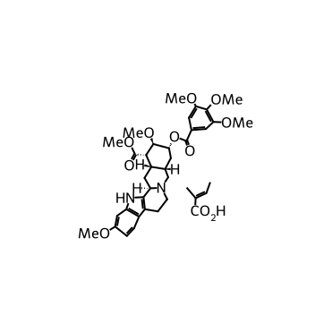 C/C=C(\C)C(=O)O.COC(=O)[C@H]1[C@H]2C[C@@H]3c4[nH]c5cc(OC)ccc5c4CCN3C[C@H]2C[C@@H](OC(=O)c2cc(OC)c(OC)c(OC)c2)[C@@H]1OC